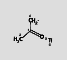 [CH2]C(C)=O.[Ti]